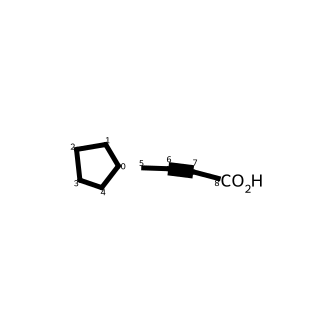 C1CCCC1.CC#CC(=O)O